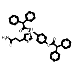 NC(=O)CCC1=C[N@+](Cc2ccc(OC(=O)C(c3ccccc3)c3ccccc3)cc2)(NC(=O)C(c2ccccc2)c2ccccc2)C=N1